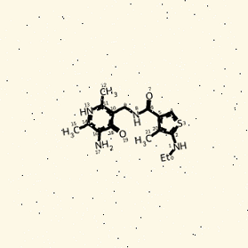 CCNc1scc(C(=O)NCc2c(C)[nH]c(C)c(N)c2=O)c1C